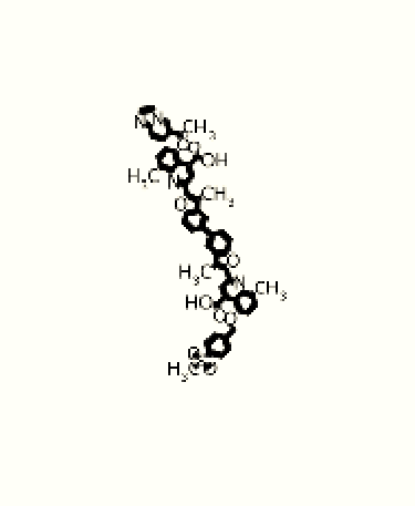 Cc1c(-c2cc(C(=O)O)c3c(OCc4ccc(S(C)(=O)=O)cc4)ccc(C)c3n2)oc2ccc(-c3ccc4oc(-c5cc(C(=O)O)c6c(O[C@@H](C)c7ccc8nccn8c7)ccc(C)c6n5)c(C)c4c3)cc12